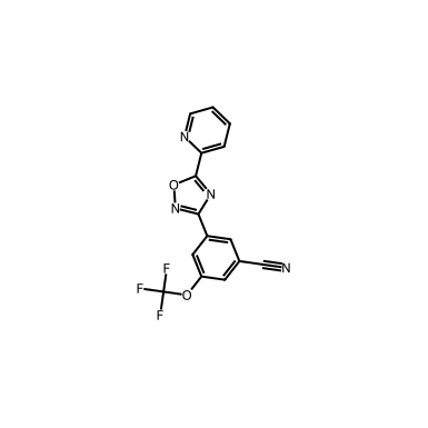 N#Cc1cc(OC(F)(F)F)cc(-c2noc(-c3ccccn3)n2)c1